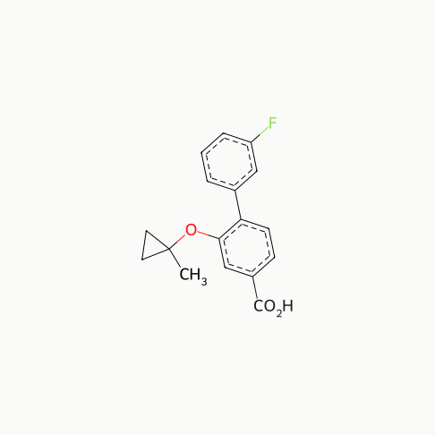 CC1(Oc2cc(C(=O)O)ccc2-c2cccc(F)c2)CC1